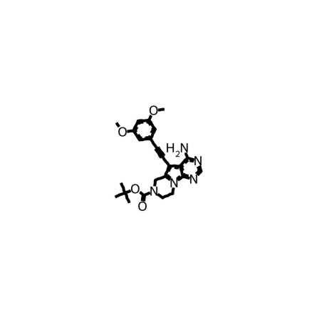 COc1cc(C#Cc2c3n(c4ncnc(N)c24)CCN(C(=O)OC(C)(C)C)C3)cc(OC)c1